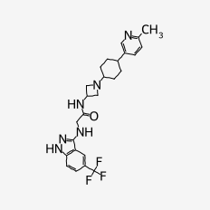 Cc1ccc(C2CCC(N3CC(NC(=O)CNc4n[nH]c5ccc(C(F)(F)F)cc45)C3)CC2)cn1